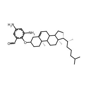 CC(C)CCC[C@@H](C)[C@H]1CCC2C3CC=C4CC(Oc5c(N)cc(N)cc5[C]=O)CC[C@]4(C)C3CC[C@@]21C